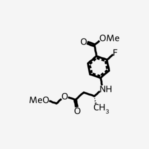 COCOC(=O)C[C@@H](C)Nc1ccc(C(=O)OC)c(F)c1